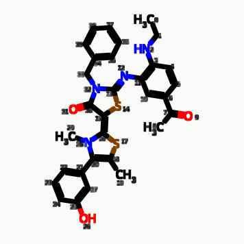 CCNc1ccc(C(C)=O)cc1N=C1S/C(=C2\SC(C)=C(c3cccc(O)c3)N2C)C(=O)N1Cc1ccccc1